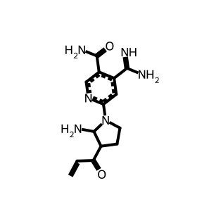 C=CC(=O)C1CCN(c2cc(C(=N)N)c(C(N)=O)cn2)C1N